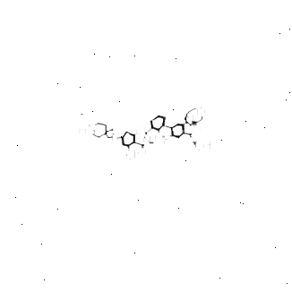 COC(=O)c1cc(F)c(-c2cccc3c2OCN(C(=O)c2c(Cl)cc(N4CC5(CCNCC5)C4)cc2Cl)C3)cc1N1C2CCC1COC2